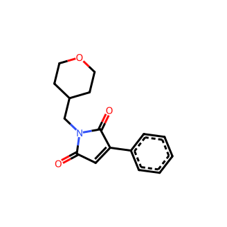 O=C1C=C(c2ccccc2)C(=O)N1CC1CCOCC1